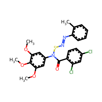 COc1cc(N(SN=Nc2ccccc2C)C(=O)c2ccc(Cl)cc2Cl)cc(OC)c1OC